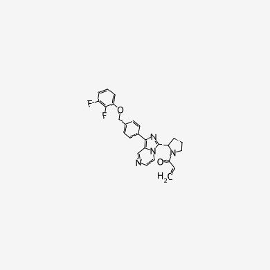 C=CC(=O)N1CCCC1c1nc(-c2ccc(COc3cccc(F)c3F)cc2)c2cnccn12